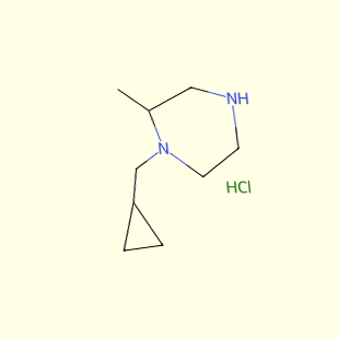 CC1CNCCN1CC1CC1.Cl